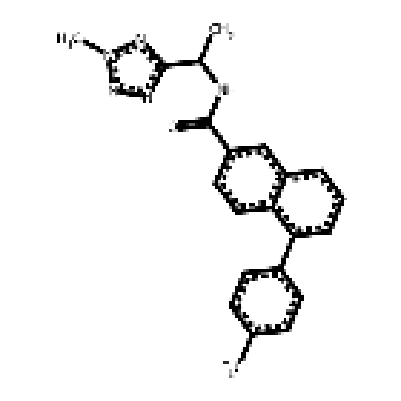 CC(NC(=O)c1ccc2c(-c3ccc(C(F)(F)F)cc3)cccc2c1)c1nnn(C)n1